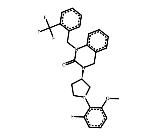 COc1cccc(F)c1N1CC[C@@H](N2Cc3ccccc3N(Cc3ccccc3C(F)(F)F)C2=O)C1